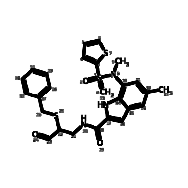 C=S(=O)(c1cccs1)N(C)c1cc(C)cc2cc(C(=O)NCC(C=O)SCc3ccccc3)[nH]c12